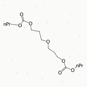 CCCOC(=O)OCCCOCCCOC(=O)OCCC